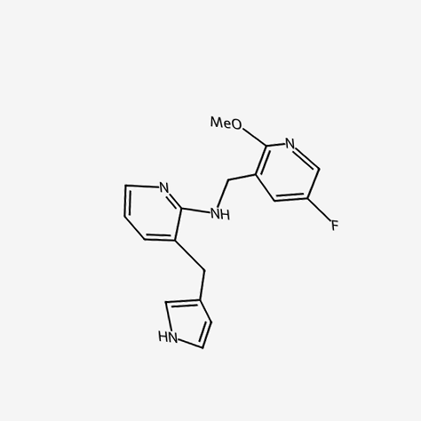 COc1ncc(F)cc1CNc1ncccc1Cc1cc[nH]c1